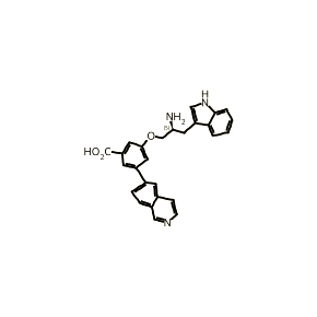 N[C@H](COc1cc(C(=O)O)cc(-c2ccc3cnccc3c2)c1)Cc1c[nH]c2ccccc12